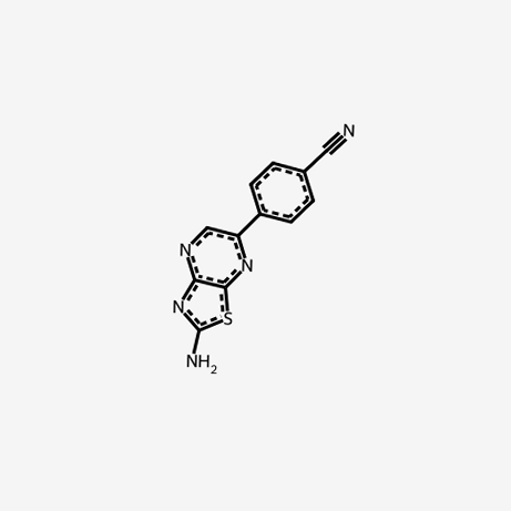 N#Cc1ccc(-c2cnc3nc(N)sc3n2)cc1